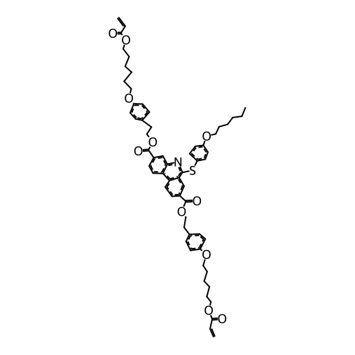 C=CC(=O)OCCCCCCOc1ccc(CCOC(=O)c2ccc3c(c2)nc(Sc2ccc(OCCCCCC)cc2)c2cc(C(=O)OCCc4ccc(OCCCCCCOC(=O)C=C)cc4)ccc23)cc1